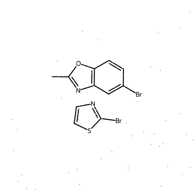 Brc1nccs1.Cc1nc2cc(Br)ccc2o1